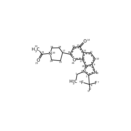 CCn1c(C(F)(F)F)nc2ccc3c(=O)cc(C4CCN(C(C)=O)CC4)oc3c21